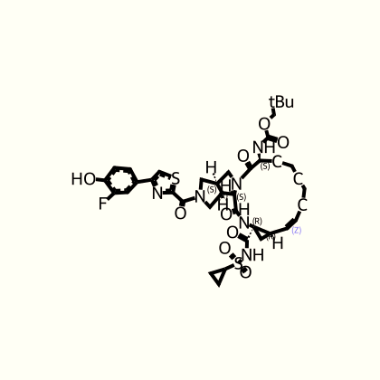 CC(C)(C)COC(=O)N[C@H]1CCCCC/C=C\[C@H]2C[C@@]2(C(=O)NS(=O)(=O)C2CC2)NC(=O)[C@@H]2[C@H]3CN(C(=O)c4nc(-c5ccc(O)c(F)c5)cs4)C[C@H]3CN2C1=O